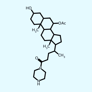 CC(=O)OC1CC2CC(O)CCC2(C)C2CCC3(C)C(C(C)CCC(=O)N4CCNCC4)CCC3C12